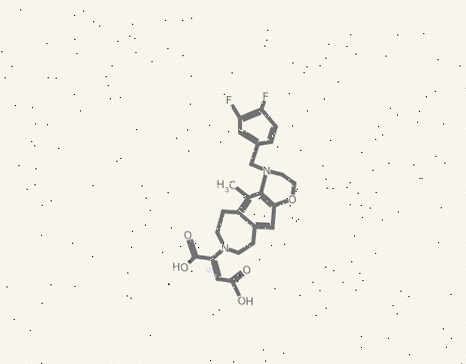 Cc1c2c(cc3c1N(Cc1ccc(F)c(F)c1)CCO3)CCN(/C(=C\C(=O)O)C(=O)O)CC2